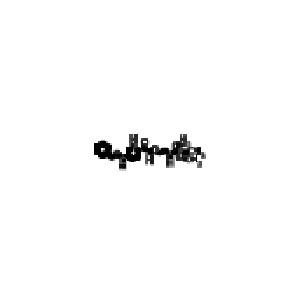 CC(C)(C)OC(=O)NCCONC(=O)[C@@H]1CCC(NOCc2ccccc2)CN1